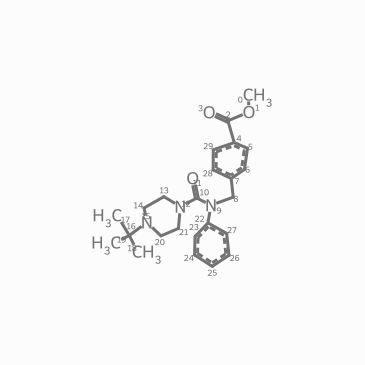 COC(=O)c1ccc(CN(C(=O)N2CCN(C(C)(C)C)CC2)c2ccccc2)cc1